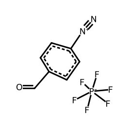 F[P-](F)(F)(F)(F)F.N#[N+]c1ccc(C=O)cc1